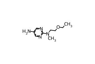 CCOCCN(C)c1ncc(N)cn1